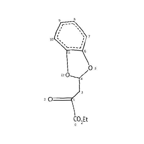 CCOC(=O)C(=O)CC1Oc2ccccc2O1